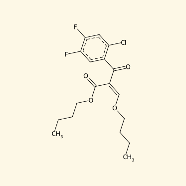 CCCCOC=C(C(=O)OCCCC)C(=O)c1cc(F)c(F)cc1Cl